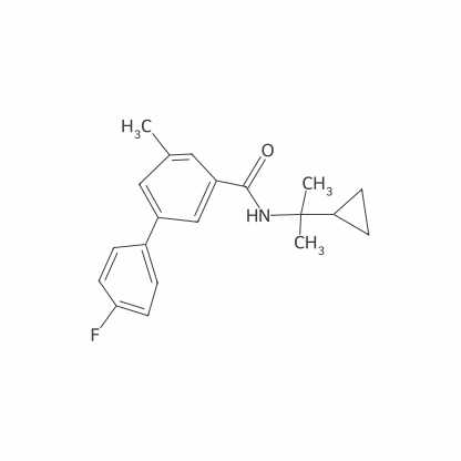 Cc1cc(C(=O)NC(C)(C)C2CC2)cc(-c2ccc(F)cc2)c1